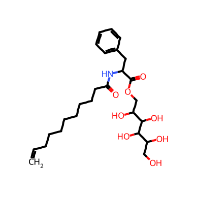 C=CCCCCCCCCC(=O)NC(Cc1ccccc1)C(=O)OCC(O)C(O)C(O)C(O)CO